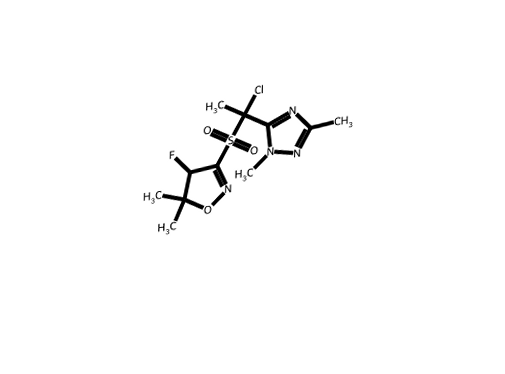 Cc1nc(C(C)(Cl)S(=O)(=O)C2=NOC(C)(C)C2F)n(C)n1